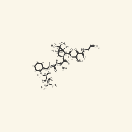 C=CCNC(=O)C(=O)C(CCCC)NC(=O)[C@@H]1[C@@H]2[C@H](CN1C(=O)[C@@H](NC(=O)N[C@H](CN(C)S(=O)(=O)N(C)C)C1CCCCC1)C(C)(C)C)C2(C)C